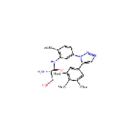 COc1ccc(-n2nncc2-c2cc(OC)c(OC)c(OC)c2)cc1NC(=O)[C@@H](N)CO